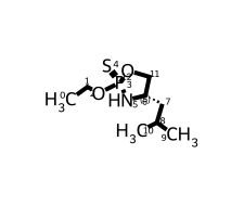 CCOP1(=S)N[C@@H](CC(C)C)CO1